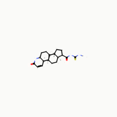 CC(C)(C)NC(=S)NC(=O)C1CC[C@H]2[C@@H]3CCC4NC(=O)C=C[C@]4(C)[C@@H]3CC[C@]12C